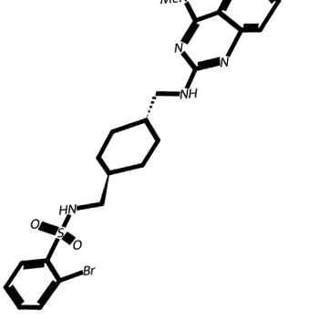 CNc1nc(NC[C@H]2CC[C@H](CNS(=O)(=O)c3ccccc3Br)CC2)nc2ccccc12